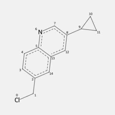 ClCc1ccc2ncc(C3CC3)cc2c1